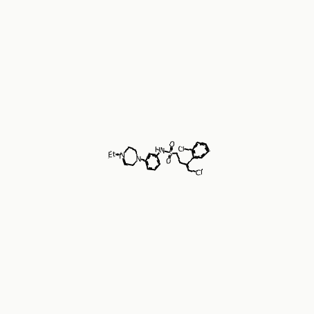 CCN1CCN(c2cccc(NS(=O)(=O)CCC(CCl)c3ccccc3Cl)c2)CC1